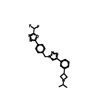 CC(C)N1CC(c2cccc(-c3cn(Cc4ccc(-c5nnc(C(F)F)o5)cc4)nn3)c2)C1